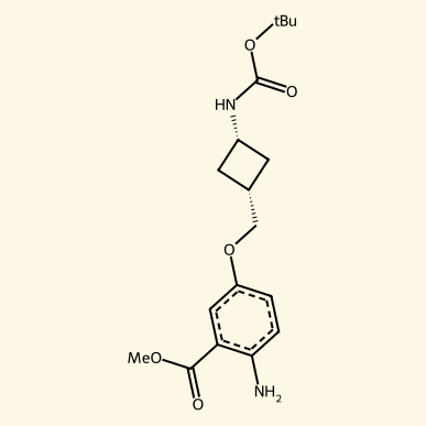 COC(=O)c1cc(OC[C@H]2C[C@@H](NC(=O)OC(C)(C)C)C2)ccc1N